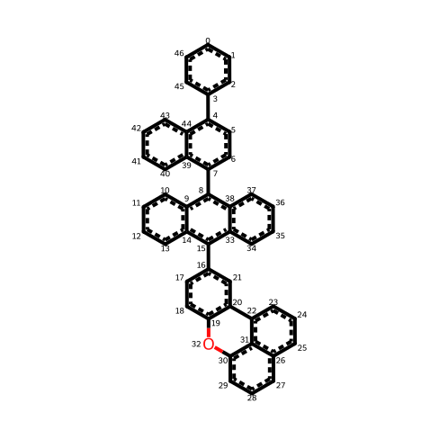 c1ccc(-c2ccc(-c3c4ccccc4c(-c4ccc5c(c4)-c4cccc6cccc(c46)O5)c4ccccc34)c3ccccc23)cc1